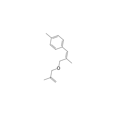 C=C(C)COCC(C)=Cc1ccc(C)cc1